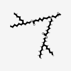 CCCCCCC(CCCCCC)CCCOC(=O)CCCCCCCN(CCCCCCCC(=O)OCCCC(CCCCCC)CCCCCC)CCC1CO1